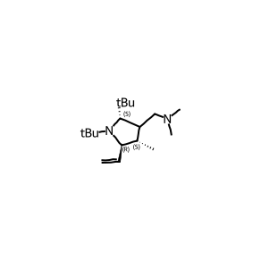 C=C[C@@H]1[C@@H](C)C(CN(C)C)[C@@H](C(C)(C)C)N1C(C)(C)C